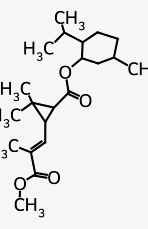 COC(=O)/C(C)=C/C1C(C(=O)OC2CC(C)CCC2C(C)C)C1(C)C